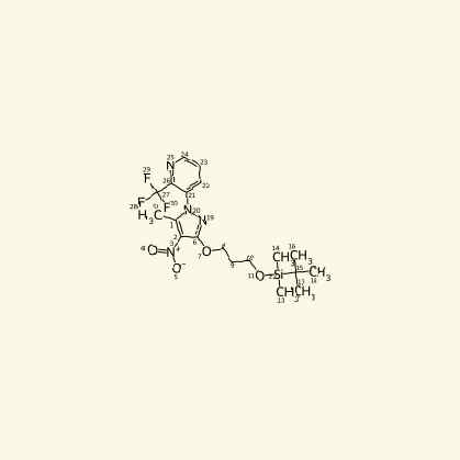 Cc1c([N+](=O)[O-])c(OCCCO[Si](C)(C)C(C)(C)C)nn1-c1cccnc1C(F)(F)F